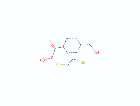 O=C(OO)C1CCC(CO)CC1.SCCS